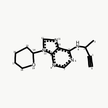 C#CC(C)Nc1ncnc2c1ncn2C1CCCCO1